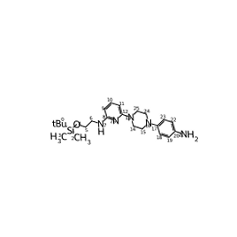 CC(C)(C)[Si](C)(C)OCCNc1cccc(N2CCN(c3ccc(N)cc3)CC2)n1